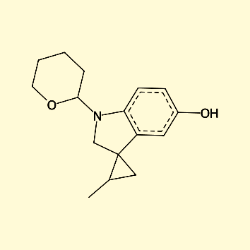 CC1CC12CN(C1CCCCO1)c1ccc(O)cc12